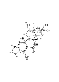 O=C1N[C@H]2[C@@H]3OP(=O)(O)O[C@@H]3[C@@H](O)C[C@@H]2c2cc3c(c(O)c21)OCO3